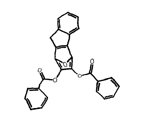 O=C(Oc1c(OC(=O)c2ccccc2)c2oc1c1c2-c2ccccc2C1)c1ccccc1